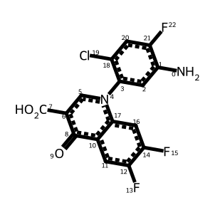 Nc1cc(-n2cc(C(=O)O)c(=O)c3cc(F)c(F)cc32)c(Cl)cc1F